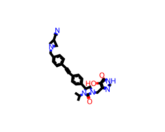 CC(C)N1C(=O)N(Cc2nc[nH]c(=O)c2O)CC1c1ccc(C#Cc2ccc(CN3CC(C#N)C3)cc2)cc1